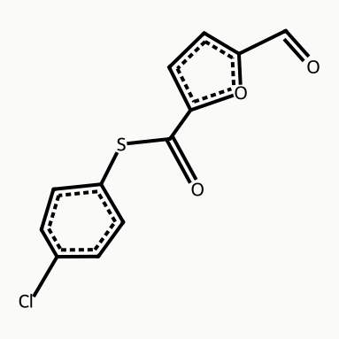 O=Cc1ccc(C(=O)Sc2ccc(Cl)cc2)o1